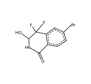 CC(C)c1ccc2c(c1)C(F)(F)C(O)NC2=O